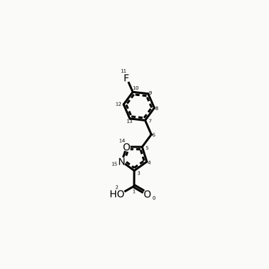 O=C(O)c1cc(Cc2ccc(F)cc2)on1